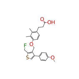 COc1ccc(-c2csc(CF)c2COc2ccc(CCC(=O)O)c(C)c2C)cc1